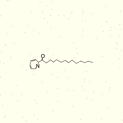 CCCCCCCCCCCCCC(=O)C1C=CC=CC=N1